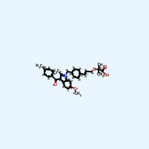 COc1ccc2c(C(=O)c3ccc(C)cc3)c(C)n(Cc3ccc(/C=C/COC(C)(C)C(=O)O)cc3)c2c1